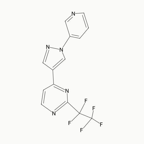 FC(F)(F)C(F)(F)c1nccc(-c2cnn(-c3cccnc3)c2)n1